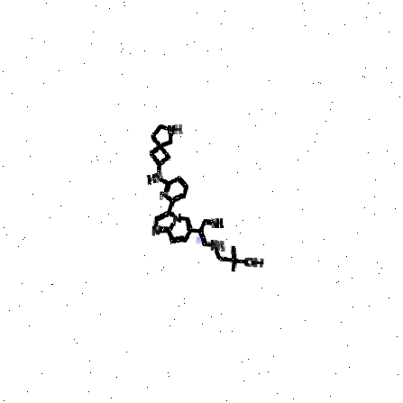 CC(C)(O)CN/C=C(\C=N)c1ccc2ncc(-c3cccc(NC4CC5(CCNC5)C4)n3)n2c1